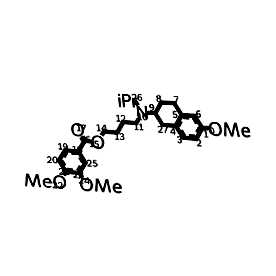 COc1ccc2c(c1)CCC(N(CCCCOC(=O)c1ccc(OC)c(OC)c1)C(C)C)C2